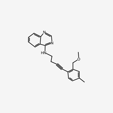 COCc1cc(C)ccc1C#CCCNc1ncnc2ccccc12